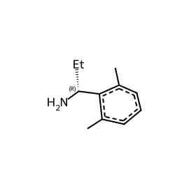 CC[C@@H](N)c1c(C)cccc1C